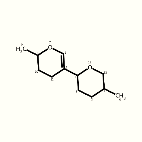 CC1CCC(C2=COC(C)CC2)OC1